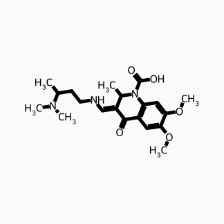 COc1cc2c(cc1OC)N(C(=O)O)C(C)C(=CNCCC(C)N(C)C)C2=O